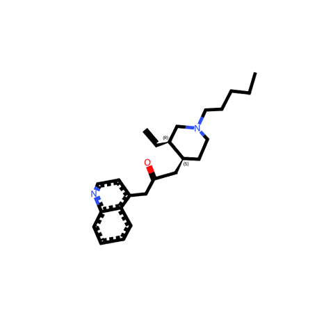 C=C[C@H]1CN(CCCCC)CC[C@H]1CC(=O)Cc1ccnc2ccccc12